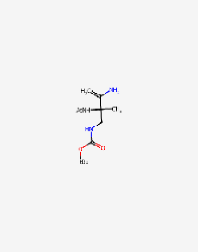 C=C(N)C(C)(CNC(=O)OC(C)(C)C)NC(C)=O